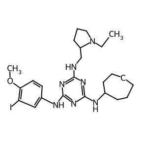 CCN1CCCC1CNc1nc(Nc2ccc(OC)c(I)c2)nc(NC2CCCCCC2)n1